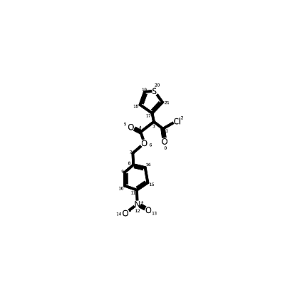 O=C(Cl)C(C(=O)OCc1ccc([N+](=O)[O-])cc1)c1ccsc1